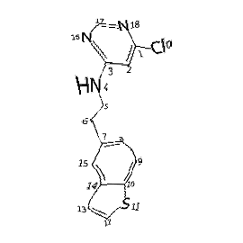 Clc1cc(NCCc2ccc3sccc3c2)ncn1